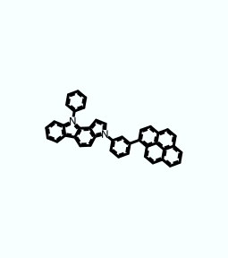 c1ccc(-n2c3ccccc3c3ccc4c(ccn4-c4cccc(-c5ccc6ccc7cccc8ccc5c6c78)c4)c32)cc1